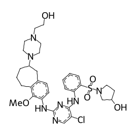 COc1c(Nc2ncc(Cl)c(Nc3ccccc3S(=O)(=O)N3CCC(O)C3)n2)ccc2c1CCCC(N1CCN(CCO)CC1)C2